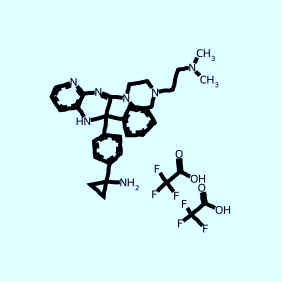 CN(C)CCN1CCN(C2=Nc3ncccc3NC2(c2ccccc2)c2ccc(C3(N)CC3)cc2)CC1.O=C(O)C(F)(F)F.O=C(O)C(F)(F)F